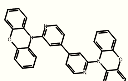 c1ccc2c(c1)Oc1ccccc1N2c1cc(-c2ccnc(N3c4ccccc4Oc4ccccc43)c2)ccn1